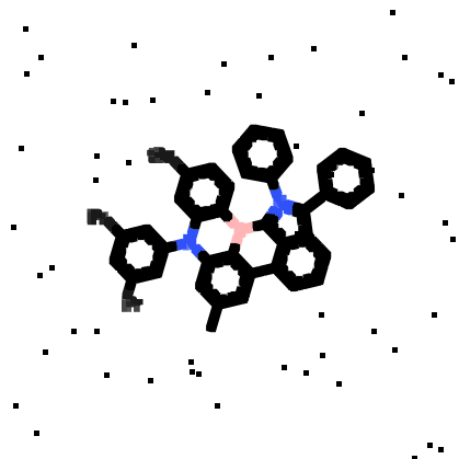 Cc1cc2c3c(c1)N(c1cc(C(C)C)cc(C(C)C)c1)c1cc(C(C)(C)C)ccc1B3c1c3c-2cccc3c(-c2ccccc2)n1-c1ccccc1